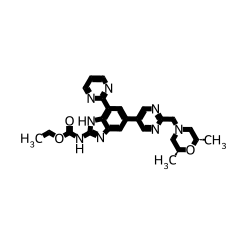 CCOC(=O)Nc1nc2cc(-c3cnc(CN4C[C@@H](C)O[C@@H](C)C4)nc3)cc(-c3ncccn3)c2[nH]1